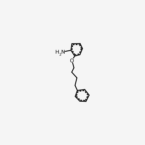 Nc1ccccc1OCCCCc1ccccc1